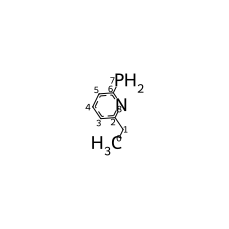 CCc1cccc(P)n1